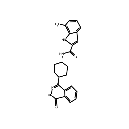 O=C(N[C@H]1CC[C@H](c2n[nH]c(=O)c3ccccc32)CC1)c1cc2cccc(C(F)(F)F)c2[nH]1